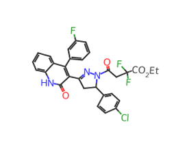 CCOC(=O)C(F)(F)CC(=O)N1N=C(c2c(-c3cccc(F)c3)c3ccccc3[nH]c2=O)CC1c1ccc(Cl)cc1